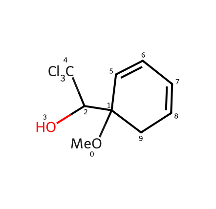 COC1(C(O)C(Cl)(Cl)Cl)C=CC=CC1